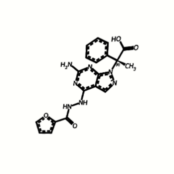 C[C@](C(=O)O)(c1ccccc1)n1ncc2c(NNC(=O)c3ccco3)nc(N)nc21